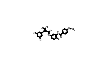 COc1ccc(C(=O)Nc2cc(NC(=O)C3C(c4cc(Cl)cc(Cl)c4)C3(Cl)Cl)ccc2Cl)cc1